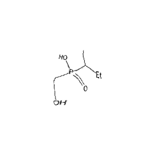 CCC(C)P(=O)(O)CO